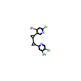 CC(C)c1cc(C2CC2C2CC2c2cnc(Br)cc2C(C)C)ncc1Br